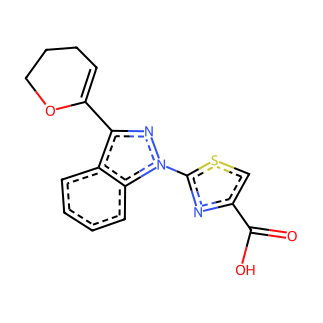 O=C(O)c1csc(-n2nc(C3=CCCCO3)c3ccccc32)n1